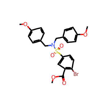 COC(=O)c1cc(S(=O)(=O)N(Cc2ccc(OC)cc2)Cc2ccc(OC)cc2)ccc1Br